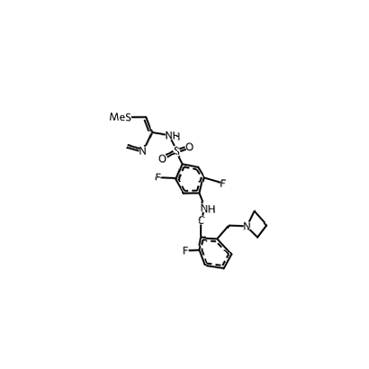 C=N/C(=C\SC)NS(=O)(=O)c1cc(F)c(NCc2c(F)cccc2CN2CCC2)cc1F